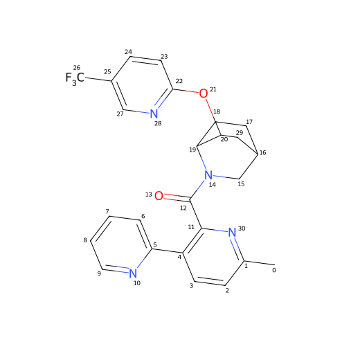 Cc1ccc(-c2ccccn2)c(C(=O)N2CC3CCC2C(Oc2ccc(C(F)(F)F)cn2)C3)n1